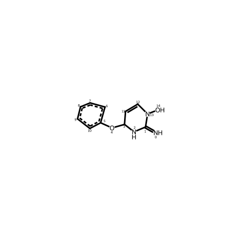 N=C1NC(Oc2ccccc2)C=CN1O